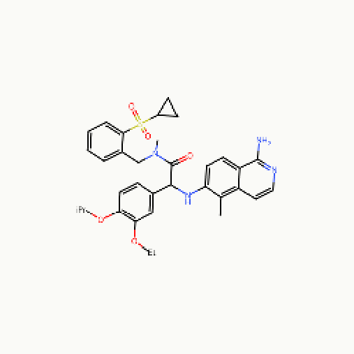 CCOc1cc(C(Nc2ccc3c(N)nccc3c2C)C(=O)N(C)Cc2ccccc2S(=O)(=O)C2CC2)ccc1OC(C)C